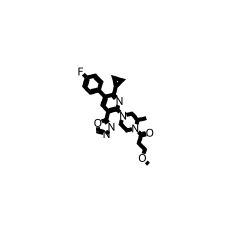 COCCC(=O)N1CCN(c2nc(C3CC3)c(-c3ccc(F)cc3)cc2-c2nnco2)CC1C